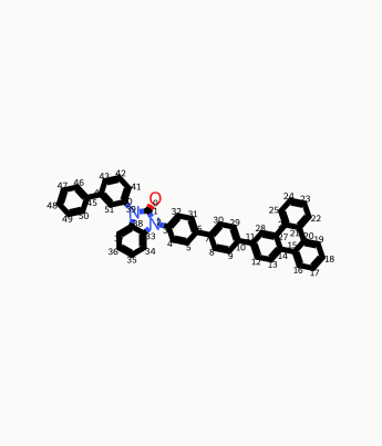 O=c1n(-c2ccc(-c3ccc(-c4ccc5c6ccccc6c6ccccc6c5c4)cc3)cc2)c2ccccc2n1-c1cccc(-c2ccccc2)c1